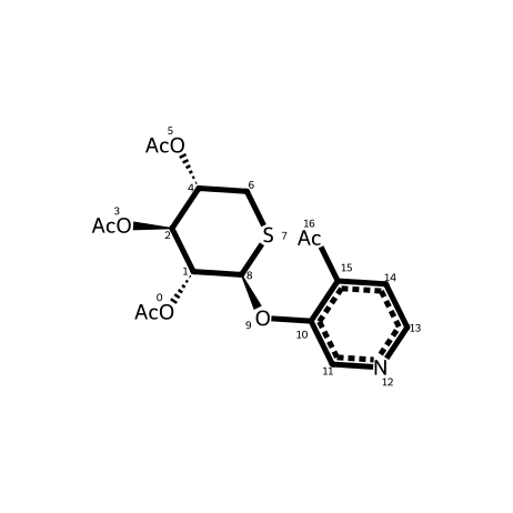 CC(=O)O[C@@H]1[C@@H](OC(C)=O)[C@H](OC(C)=O)CS[C@H]1Oc1cnccc1C(C)=O